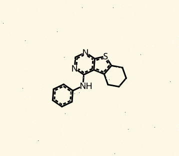 c1ccc(Nc2ncnc3sc4c(c23)CCCC4)cc1